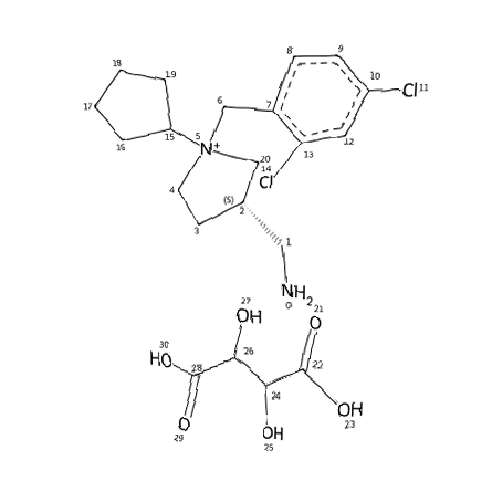 NC[C@@H]1CC[N+](Cc2ccc(Cl)cc2Cl)(C2CCCC2)C1.O=C(O)C(O)C(O)C(=O)O